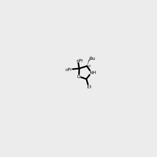 CCCC1(CCC)OC(CC)N[C@H]1C(C)CC